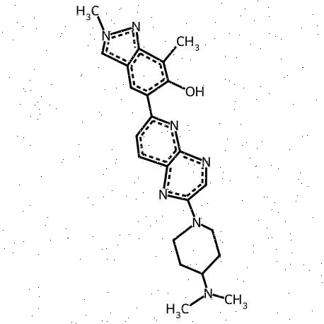 Cc1c(O)c(-c2ccc3nc(N4CCC(N(C)C)CC4)cnc3n2)cc2cn(C)nc12